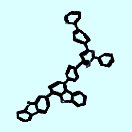 c1ccc(-c2nc(-c3ccc(-c4ccccn4)cc3)cc(-c3ccc(-c4ccc(-c5ccc6c(c5)sc5ccccc56)c5oc6ccccc6c45)cc3)n2)cc1